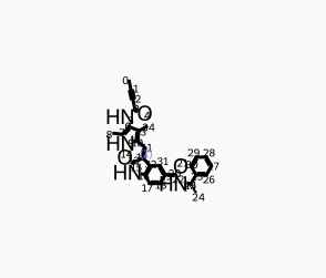 CC#CC(=O)Nc1c(C)[nH]c(/C=C2\C(=O)Nc3ccc(C(=O)N[C@H](C)c4ccccc4)cc32)c1C